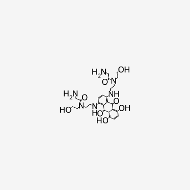 NCC(=O)N(CCO)CCNc1ccc(NCCN(CCO)C(=O)CN)c2c1C(=O)c1c(O)ccc(O)c1C2=O